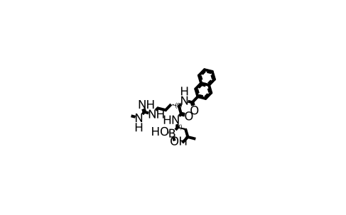 CNC(=N)NCCC[C@H](NC(=O)c1ccc2ccccc2c1)C(=O)N[C@@H](CC(C)C)B(O)O